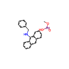 CO[PH](=O)O.c1ccc(CNc2c3ccccc3cc3ccccc23)cc1